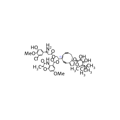 C=C1Oc2cc(OC)cc(C(=O)OC(COC(=O)C[C@H](N)c3cc(O)c(OC)c(Cl)c3)/C3=C/C#CCCC4(O[C@@H]5OC(C)(C)[C@@H](N(C)C)[C@@H](O)[C@H]5O)C=CC=C4C#C3)c2NC1=O